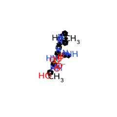 CC(C)c1ccccc1C1CN(Cc2ccccc2)CCN1C1CC2(CCN(c3ccc(C(=O)NS(=O)(=O)c4ccc(NC[C@H]5CC[C@](C)(O)CC5)c([N+](=O)[O-])c4)c(Oc4cnc5[nH]ccc5c4)c3)CC2)C1